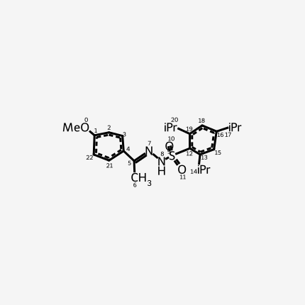 COc1ccc(C(C)=NNS(=O)(=O)c2c(C(C)C)cc(C(C)C)cc2C(C)C)cc1